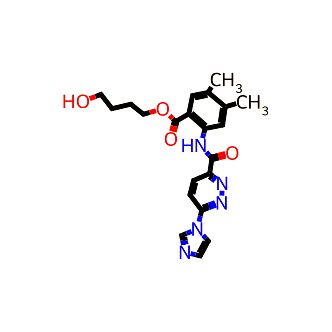 Cc1cc(NC(=O)c2ccc(-n3ccnc3)nn2)c(C(=O)OCCCCO)cc1C